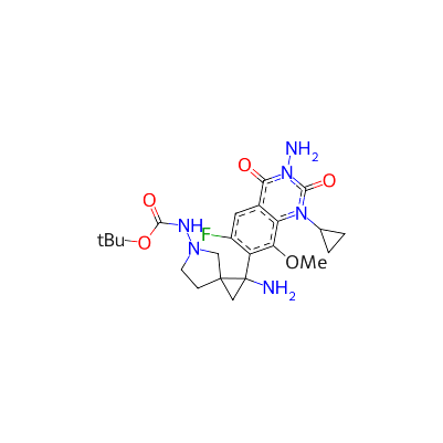 COc1c(C2(N)CC23CCN(NC(=O)OC(C)(C)C)C3)c(F)cc2c(=O)n(N)c(=O)n(C3CC3)c12